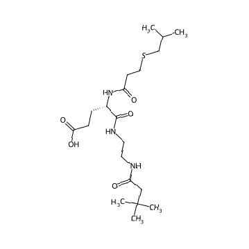 CC(C)CSCCC(=O)N[C@@H](CCC(=O)O)C(=O)NCCNC(=O)CC(C)(C)C